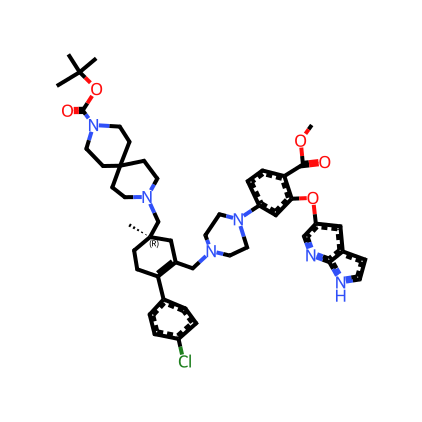 COC(=O)c1ccc(N2CCN(CC3=C(c4ccc(Cl)cc4)CC[C@@](C)(CN4CCC5(CC4)CCN(C(=O)OC(C)(C)C)CC5)C3)CC2)cc1Oc1cnc2[nH]ccc2c1